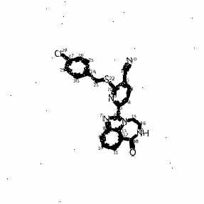 N#Cc1ccc(-c2nc3cccc4c3n2CCNC4=O)nc1SCc1ccc(Cl)cc1